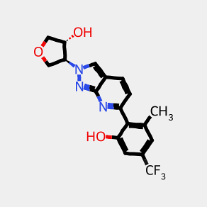 Cc1cc(C(F)(F)F)cc(O)c1-c1ccc2cn([C@H]3COC[C@@H]3O)nc2n1